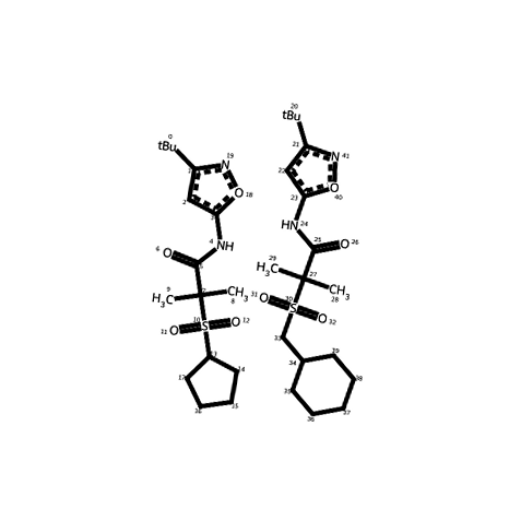 CC(C)(C)c1cc(NC(=O)C(C)(C)S(=O)(=O)C2CCCC2)on1.CC(C)(C)c1cc(NC(=O)C(C)(C)S(=O)(=O)CC2CCCCC2)on1